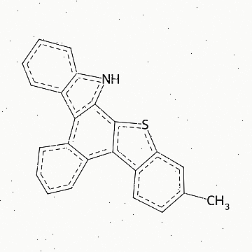 Cc1ccc2c(c1)sc1c3[nH]c4ccccc4c3c3ccccc3c21